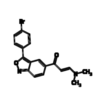 CN(C)C=CC(=O)c1ccc2noc(-c3ccc(Br)cc3)c2c1